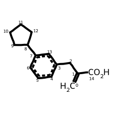 C=C(Cc1cccc(C2CCCC2)c1)C(=O)O